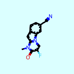 Cn1c(=O)c(F)cn2c3cc(C#N)ccc3cc12